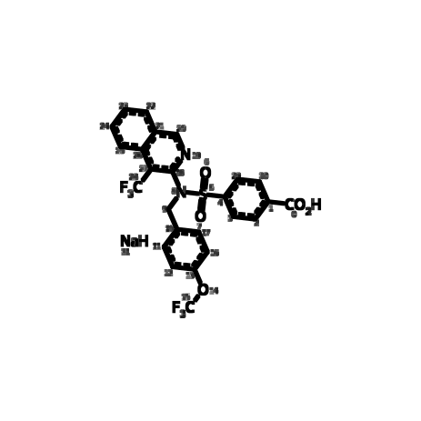 O=C(O)c1ccc(S(=O)(=O)N(Cc2ccc(OC(F)(F)F)cc2)c2ncc3ccccc3c2C(F)(F)F)cc1.[NaH]